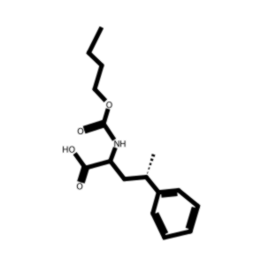 CCCCOC(=O)NC(C[C@H](C)c1ccccc1)C(=O)O